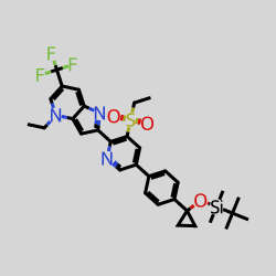 CCn1cc(C(F)(F)F)cc2nc(-c3ncc(-c4ccc(C5(O[Si](C)(C)C(C)(C)C)CC5)cc4)cc3S(=O)(=O)CC)cc1-2